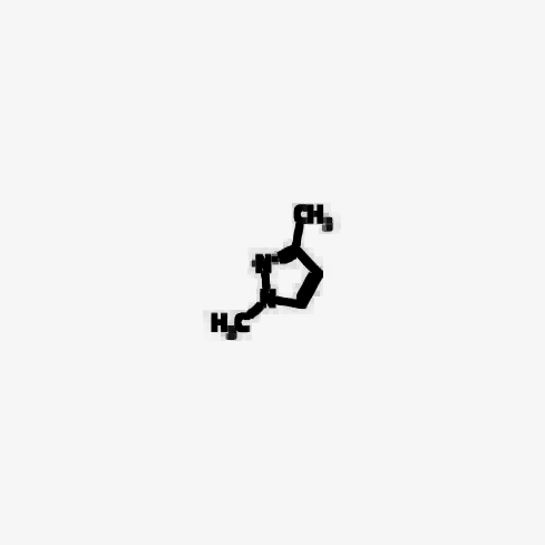 CC1=[N+]N(C)C=C1